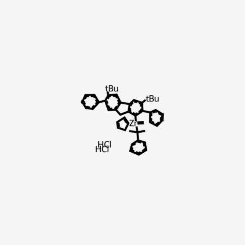 Cl.Cl.[CH2]=[Zr]([C]1=CC=CC1)([c]1c2c(cc(C(C)(C)C)c1-c1ccccc1)-c1cc(C(C)(C)C)c(-c3ccccc3)cc1C2)[C](C)(C)c1ccccc1